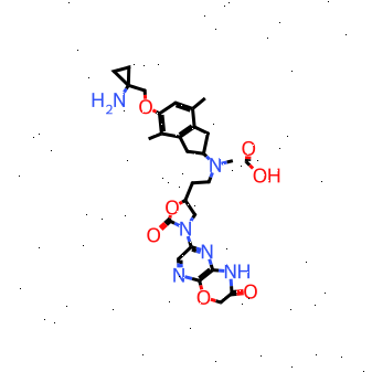 Cc1cc(OCC2(N)CC2)c(C)c2c1CC(N(C)CCC1CN(c3cnc4c(n3)NC(=O)CO4)C(=O)O1)C2.O=CO